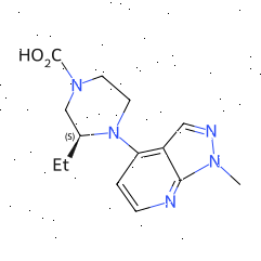 CC[C@H]1CN(C(=O)O)CCN1c1ccnc2c1cnn2C